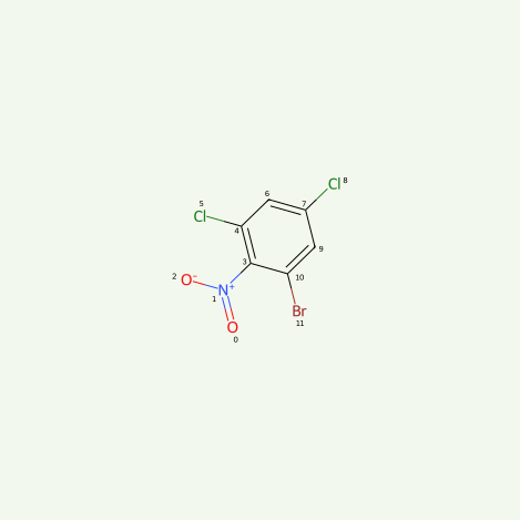 O=[N+]([O-])c1c(Cl)cc(Cl)cc1Br